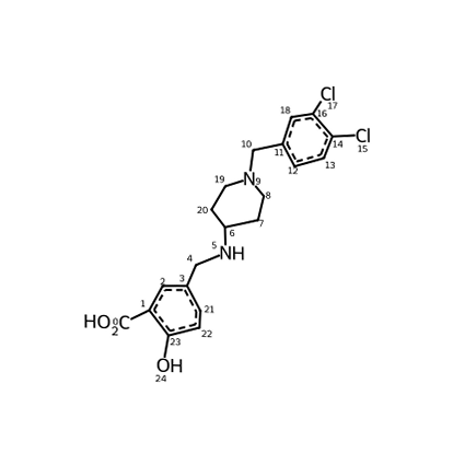 O=C(O)c1cc(CNC2CCN(Cc3ccc(Cl)c(Cl)c3)CC2)ccc1O